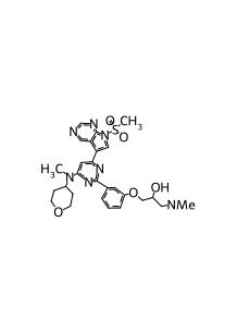 CNCC(O)COc1cccc(-c2nc(-c3cn(S(C)(=O)=O)c4ncncc34)cc(N(C)C3CCOCC3)n2)c1